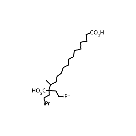 CC(C)CCC(CCC(C)C)(C(=O)O)C(C)CCCCCCCCCCCCC(=O)O